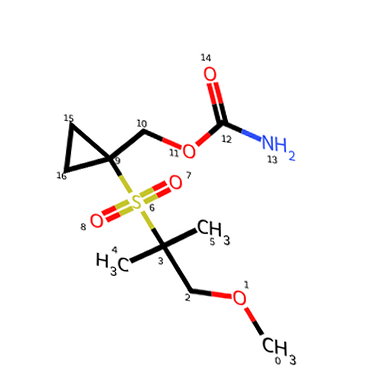 COCC(C)(C)S(=O)(=O)C1(COC(N)=O)CC1